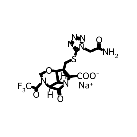 NC(=O)Cn1nnnc1SCC1=C(C(=O)[O-])N2C(=O)[C@@H]3[C@H]2C1OCN3C(=O)C(F)(F)F.[Na+]